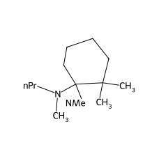 CCCN(C)C1(NC)CCCCC1(C)C